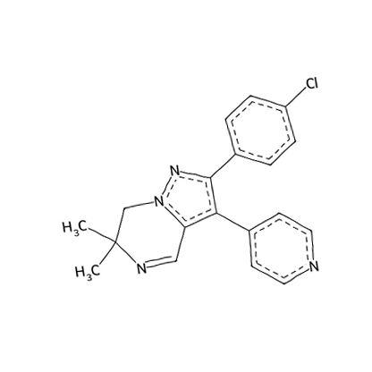 CC1(C)Cn2nc(-c3ccc(Cl)cc3)c(-c3ccncc3)c2C=N1